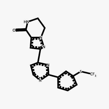 O=C1NCCn2nc(-c3ccnc(-c4cccc(SC(F)(F)F)c4)n3)cc21